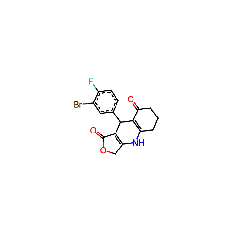 O=C1CCCC2=C1C(c1ccc(F)c(Br)c1)C1=C(COC1=O)N2